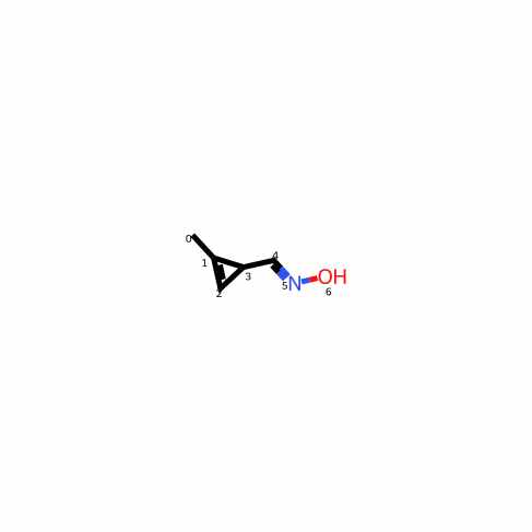 CC1=CC1/C=N/O